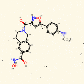 O=C(O)Nc1ccc(-c2cc(C(=O)N3CCc4cc(C(=O)NO)ccc4C3)no2)cc1